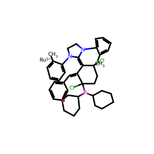 Cc1ccccc1N1CCN(c2ccccc2C)C1=C1C(=Cc2ccccc2)C(Cl)(P(C2CCCCC2)C2CCCCC2)CCC1Cl.[Ru+2]